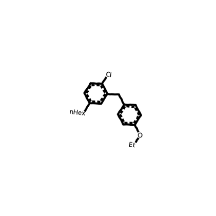 CCCCCCc1ccc(Cl)c(Cc2ccc(OCC)cc2)c1